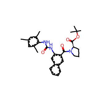 Cc1cc(C)c(NC(=O)Nc2cc3ccccc3cc2C(=O)N2CCC[C@@H]2C(=O)OC(C)(C)C)c(C)c1